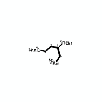 CCCC[C@H](CCOC)CC(C)(C)C